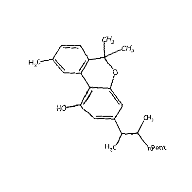 CCCCCC(C)C(C)c1cc(O)c2c(c1)OC(C)(C)c1ccc(C)cc1-2